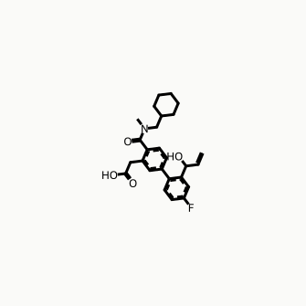 C=CC(O)c1cc(F)ccc1-c1ccc(C(=O)N(C)CC2CCCCC2)c(CC(=O)O)c1